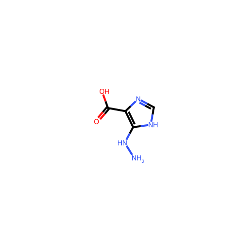 NNc1[nH]cnc1C(=O)O